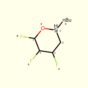 CCCC[SiH]1CC(F)C(F)C(F)O1